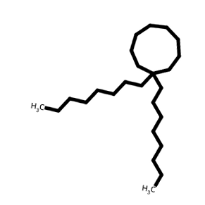 CCCCCCCCC1(CCCCCCCC)CCCCCCCC1